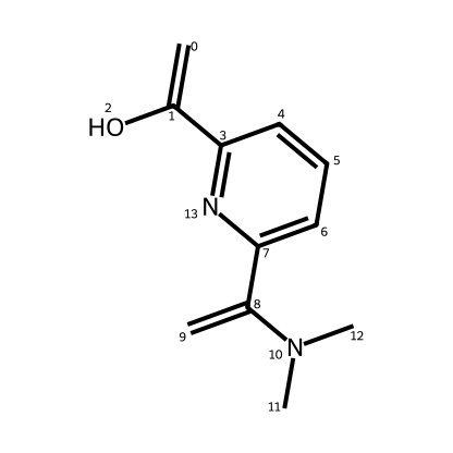 C=C(O)c1cccc(C(=C)N(C)C)n1